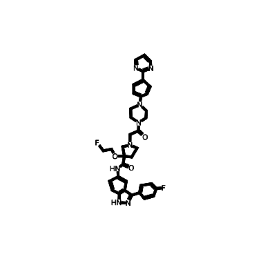 O=C(CN1CCC(OCCF)(C(=O)Nc2ccc3[nH]nc(-c4ccc(F)cc4)c3c2)C1)N1CCN(c2ccc(-c3ncccn3)cc2)CC1